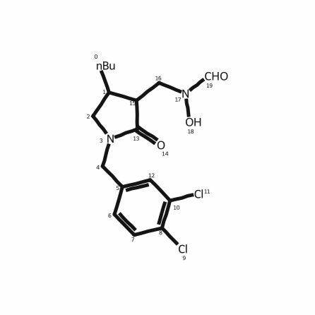 CCCCC1CN(Cc2ccc(Cl)c(Cl)c2)C(=O)C1CN(O)C=O